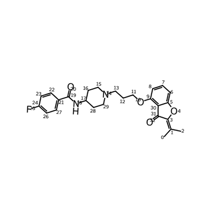 CC(C)=C1Oc2cccc(OCCCN3CCC(NC(=O)c4ccc(F)cc4)CC3)c2C1=O